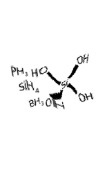 B.O[Si](O)(O)O.P.[SiH4]